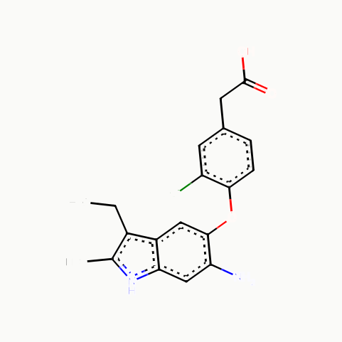 CCc1c(C)[nH]c2cc(N)c(Oc3ccc(CC(=O)O)cc3Cl)cc12